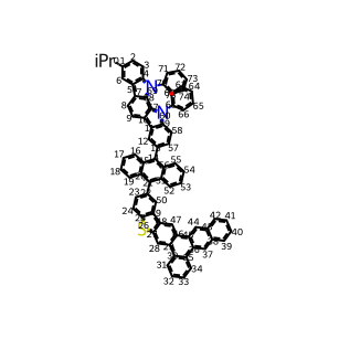 CC(C)c1ccc2c(c1)c1ccc3c4cc(-c5c6ccccc6c(-c6ccc7sc8cc9c%10ccccc%10c%10cc%11ccccc%11cc%10c9cc8c7c6)c6ccccc56)ccc4n(-c4ccccc4)c3c1n2-c1ccccc1